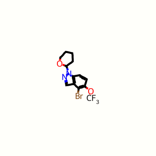 FC(F)(F)Oc1ccc2c(cnn2C2CCCCO2)c1Br